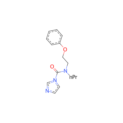 CCCN(CCOc1ccccc1)C(=O)n1ccnc1